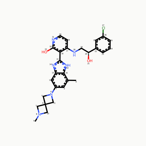 Cc1cc(N2CC3(CN(C)C3)C2)cc2nc(-c3c(NC[C@H](O)c4cccc(Cl)c4)ccnc3O)[nH]c12